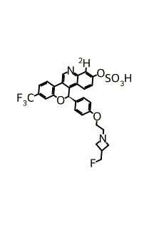 [2H]c1c(OS(=O)(=O)O)ccc2c3c(cnc12)-c1ccc(C(F)(F)F)cc1O[C@@H]3c1ccc(OCCN2CC(CF)C2)cc1